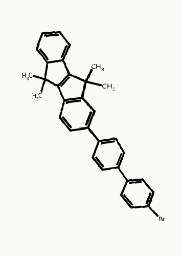 CC1(C)C2=C(c3ccccc31)C(C)(C)c1cc(-c3ccc(-c4ccc(Br)cc4)cc3)ccc12